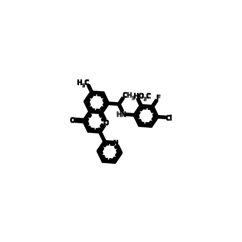 Cc1cc(C(C)Nc2ccc(Cl)c(F)c2C(=O)O)c2oc(-c3ccccn3)cc(=O)c2c1